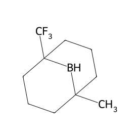 CC12BC(C(F)(F)F)(CCC1)CCC2